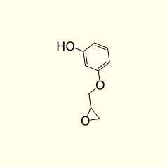 Oc1cccc(OCC2CO2)c1